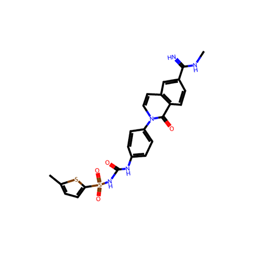 CNC(=N)c1ccc2c(=O)n(-c3ccc(NC(=O)NS(=O)(=O)c4ccc(C)s4)cc3)ccc2c1